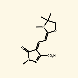 CN1N=C(C(=O)O)/C(=C\C=C2\OCC(C)(C)N2C)C1=O